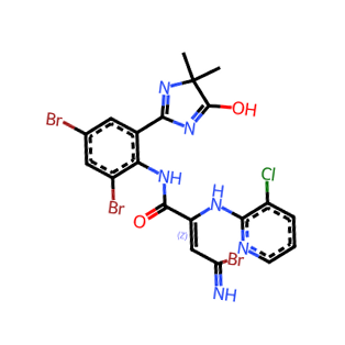 CC1(C)N=C(c2cc(Br)cc(Br)c2NC(=O)/C(=C/C(=N)Br)Nc2ncccc2Cl)N=C1O